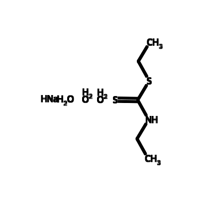 CCNC(=S)SCC.O.O.O.[NaH]